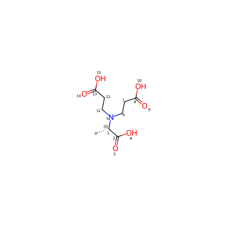 C[C@@H](C(=O)O)N(CCC(=O)O)CCC(=O)O